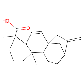 C=C1CC23C=CC4C(C)(C(=O)O)CCCC4(C)C2CCC1C3